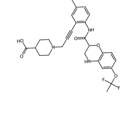 Cc1ccc(NC(=O)C2CNc3cc(OC(C)(F)F)ccc3O2)c(C#CCN2CCC(C(=O)O)CC2)c1